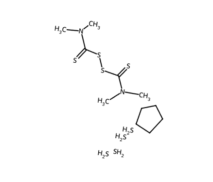 C1CCCC1.CN(C)C(=S)SSC(=S)N(C)C.S.S.S.S